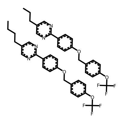 CCCCc1cnc(-c2ccc(OCc3ccc(OC(F)(F)F)cc3)cc2)nc1.CCCc1cnc(-c2ccc(OCc3ccc(OC(F)(F)F)cc3)cc2)nc1